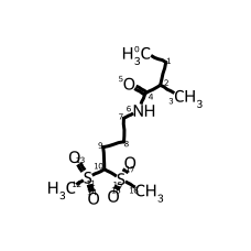 CCC(C)C(=O)NCCCC(S(C)(=O)=O)S(C)(=O)=O